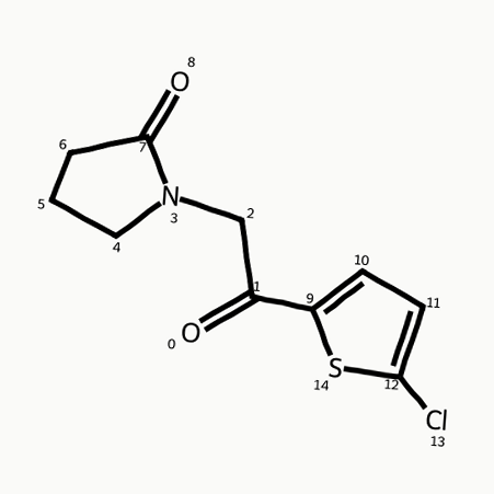 O=C(CN1CCCC1=O)c1ccc(Cl)s1